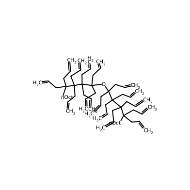 C=CCC(CC=C)(CCCCCCCC)C(CC=C)(CC=C)C(CC=C)(CC=C)C(CC=C)(CC=C)OC(CC=C)(CC=C)C(CC=C)(CC=C)C(CC=C)(CC=C)C(CC=C)(CC=C)CCCCCCCC